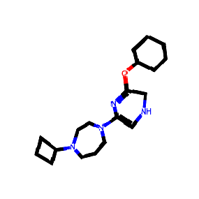 [C]1=C(N2CCCN(C3CCC3)CC2)N=C(OC2CCCCC2)CN1